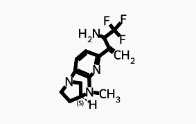 C=C(c1ccc2c(n1)N(C)[C@H]1CCN2C1)C(N)C(F)(F)F